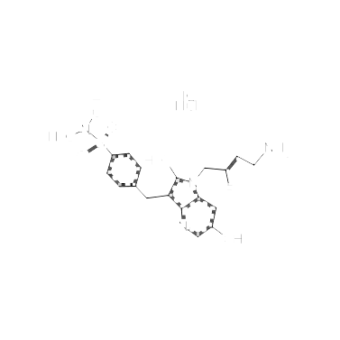 Cc1cnc2c(Cc3ccc(S(=O)(=O)N(C)C)cc3)c(C)n(CC(F)=CCN)c2c1.Cl.Cl